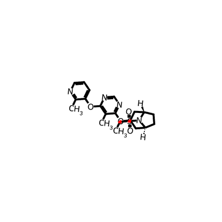 CCS(=O)(=O)N1[C@H]2CC[C@H]1CC(Oc1ncnc(Oc3cccnc3C)c1C)C2